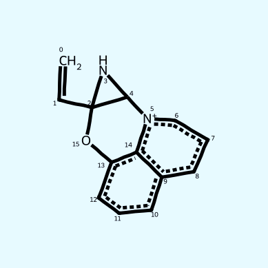 C=CC12NC1[n+]1cccc3cccc(c31)O2